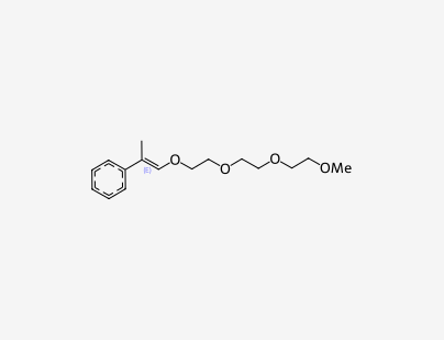 COCCOCCOCCO/C=C(\C)c1ccccc1